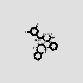 C[C@H](N)C(=O)N(C(=O)[C@@H](O)c1cc(F)cc(F)c1)[C@@H]1C(=O)Nc2ccccc2O[C@@H]1c1ccccc1